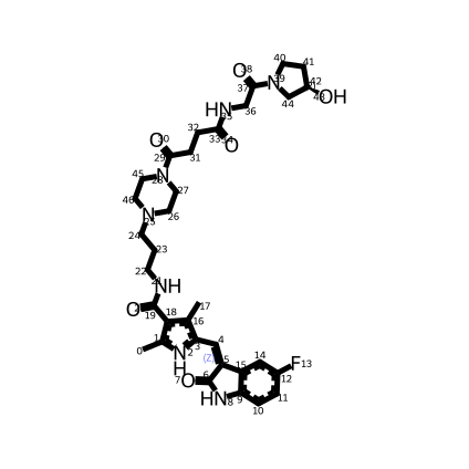 Cc1[nH]c(/C=C2\C(=O)Nc3ccc(F)cc32)c(C)c1C(=O)NCCCN1CCN(C(=O)CCC(=O)NCC(=O)N2CC[C@@H](O)C2)CC1